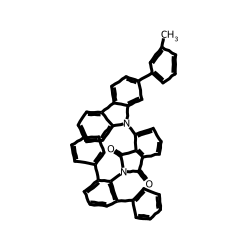 Cc1cccc(-c2ccc3c4ccccc4n(-c4cccc5c4C(=O)N(c4c(-c6ccccc6)cccc4-c4ccccc4)C5=O)c3c2)c1